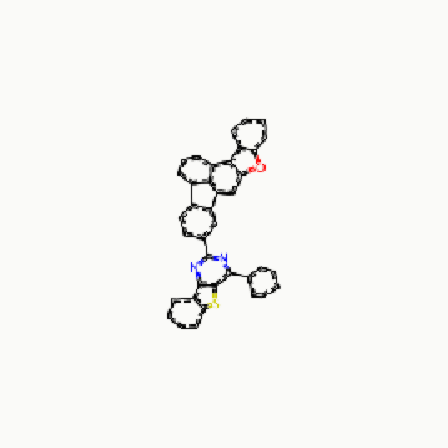 c1ccc(-c2nc(-c3ccc4c(c3)-c3cc5oc6ccccc6c5c5cccc-4c35)nc3c2sc2ccccc23)cc1